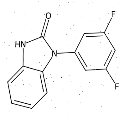 O=c1[nH]c2ccccc2n1-c1cc(F)cc(F)c1